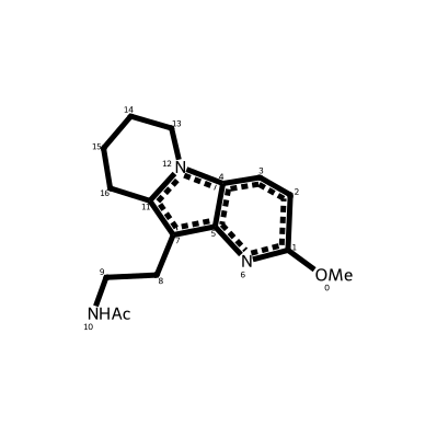 COc1ccc2c(n1)c(CCNC(C)=O)c1n2CCCC1